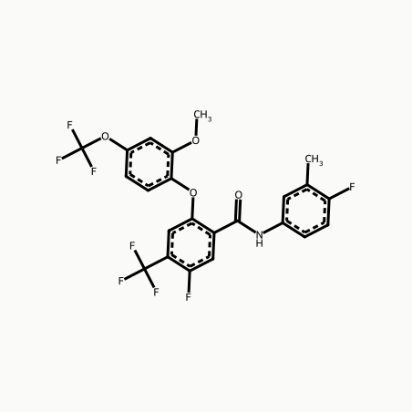 COc1cc(OC(F)(F)F)ccc1Oc1cc(C(F)(F)F)c(F)cc1C(=O)Nc1ccc(F)c(C)c1